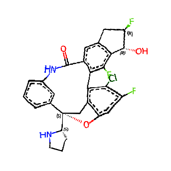 O=C1Nc2cccc(c2)[C@]2([C@@H]3CCCN3)Cc3c(cc(F)c(Cl)c3-c3c1cc1c(c3F)[C@@H](O)[C@H](F)C1)O2